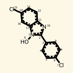 On1c(-c2ccc(Cl)cc2)nc2ccc(Cl)cc21